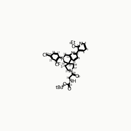 CCOc1ncccc1-c1ccc2c(n1)CN(c1ccc(Cl)cc1C(F)(F)F)CC21CCN(C(=O)CNC(=O)OC(C)(C)C)CC1